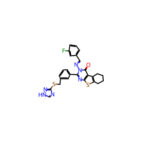 O=c1c2c3c(sc2nc(-c2cccc(CSc4nc[nH]n4)c2)n1N=Cc1cccc(F)c1)CCCC3